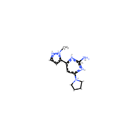 Cn1nccc1-c1cc(N2C[CH]CC2)nc(N)n1